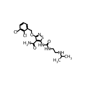 CC(C)NCCNC(=O)Nc1snc(OCc2cccc(Cl)c2Cl)c1C(N)=O